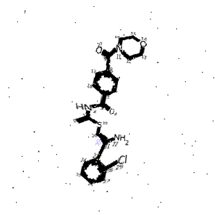 C=C(NC(=O)c1ccc(C(=O)N2CCOCC2)cc1)S/C=C(\N)c1ccccc1Cl